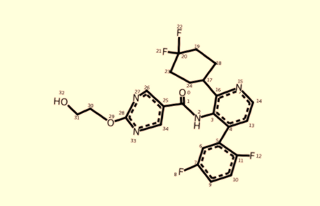 O=C(Nc1c(-c2cc(F)ccc2F)ccnc1C1CCC(F)(F)CC1)c1cnc(OCCO)nc1